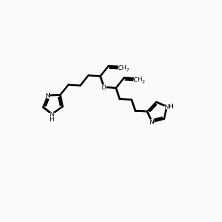 C=CC(CCCc1c[nH]cn1)OC(C=C)CCCc1c[nH]cn1